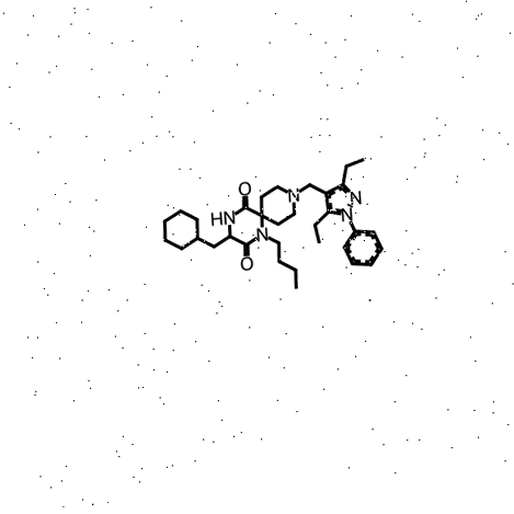 CCCCN1C(=O)C(CC2CCCCC2)NC(=O)C12CCN(Cc1c(CC)nn(-c3ccccc3)c1CC)CC2